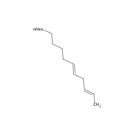 [CH2]C=CCC=CCCCCCCCCC[CH2]